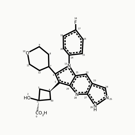 O=C(O)[C@]1(O)C[C@@H](c2c(C3CCOCC3)n(-c3ccc(F)cc3)c3cc4cn[nH]c4nc32)C1